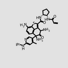 C=CC(=O)N[C@H]1CCC[C@H]1NC(=O)c1sc2c(N)ccc3c2c1C(N)C(=O)C3(N)c1cnc(NC(C)C)cc1C